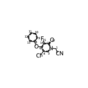 N#CCn1cc(Cl)c(Oc2ccccc2)c(F)c1=O